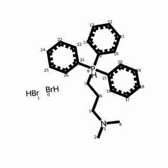 Br.Br.CN(C)CCC[PH](c1ccccc1)(c1ccccc1)c1ccccc1